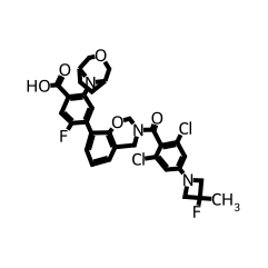 CC1(F)CN(c2cc(Cl)c(C(=O)N3COc4c(cccc4-c4cc(N5C6CCC5COC6)c(C(=O)O)cc4F)C3)c(Cl)c2)C1